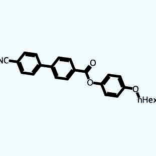 CCCCCCOc1ccc(OC(=O)c2ccc(-c3ccc(C#N)cc3)cc2)cc1